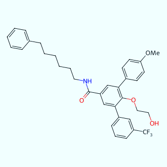 COc1ccc(-c2cc(C(=O)NCCCCCCc3ccccc3)cc(-c3cccc(C(F)(F)F)c3)c2OCCO)cc1